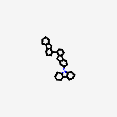 C1=Cc2c(c3ccccc3n2-c2ccc3c(c2)Cc2c-3cccc2-c2cccc3c2Cc2ccccc2-3)CC1